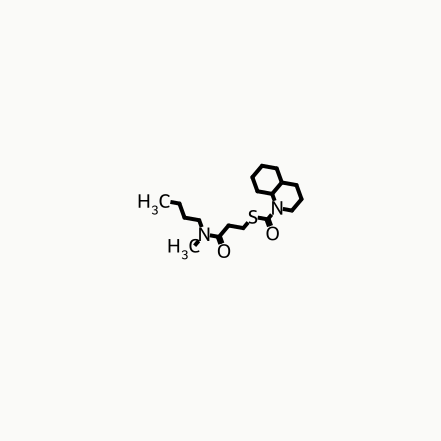 CCCCN(C)C(=O)CCSC(=O)N1CCCC2CCCCC21